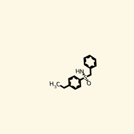 CCc1ccc(S(=N)(=O)Cc2ccccc2)cc1